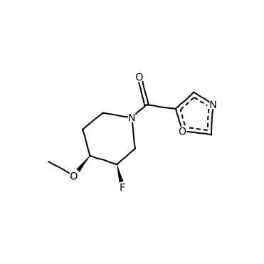 CO[C@H]1CCN(C(=O)c2cnco2)C[C@H]1F